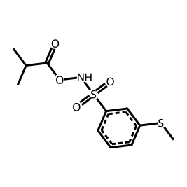 CSc1cccc(S(=O)(=O)NOC(=O)C(C)C)c1